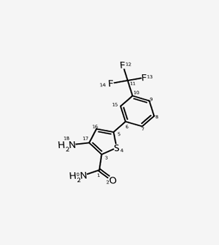 NC(=O)c1sc(-c2cccc(C(F)(F)F)c2)cc1N